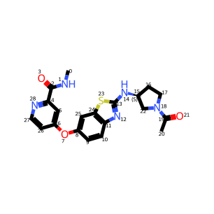 CNC(=O)c1cc(Oc2ccc3nc(N[C@H]4CCN(C(C)=O)C4)sc3c2)ccn1